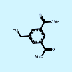 COC(=O)c1cc([CH]O)cc(C(=O)OC)c1